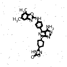 Cc1cc(C)c2oc(Nc3ccc(-c4nn(C5CCC(c6noc(=O)[nH]6)CC5)c5ncnc(N)c45)cc3)nc2c1